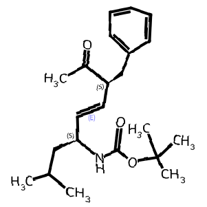 CC(=O)[C@H](/C=C/[C@H](CC(C)C)NC(=O)OC(C)(C)C)Cc1ccccc1